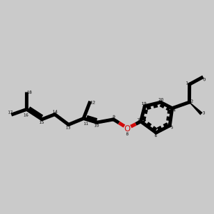 CC[C@@H](C)c1ccc(OC/C=C(\C)CCC=C(C)C)cc1